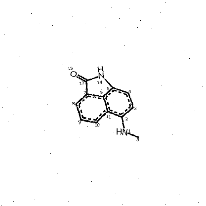 CNc1ccc2c3c(cccc13)C(=O)N2